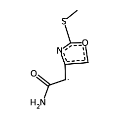 CSc1nc([CH]C(N)=O)co1